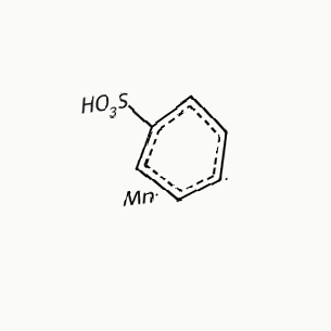 O=S(=O)(O)c1cc[c]cc1.[Mn]